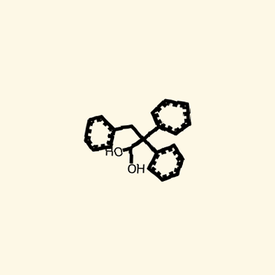 OC(O)C(Cc1ccccc1)(c1ccccc1)c1ccccc1